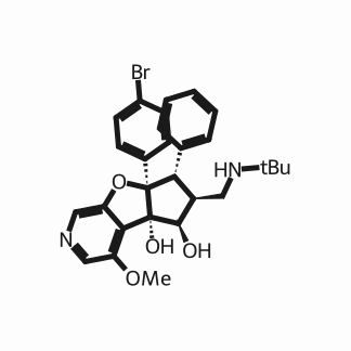 COc1cncc2c1[C@]1(O)[C@H](O)[C@H](CNC(C)(C)C)[C@@H](c3ccccc3)[C@]1(c1ccc(Br)cc1)O2